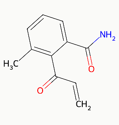 C=CC(=O)c1c(C)cccc1C(N)=O